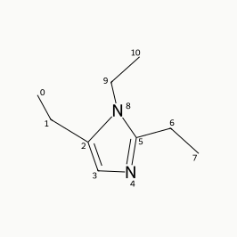 CCc1cnc(CC)n1CC